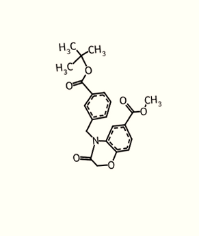 COC(=O)c1ccc2c(c1)N(Cc1cccc(C(=O)OC(C)(C)C)c1)C(=O)CO2